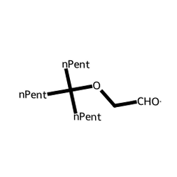 CCCCCC(CCCCC)(CCCCC)OC[C]=O